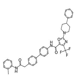 Cc1ccccc1NC(=O)Cc1ccc(-c2ccc(NC(=O)c3oc(N4CCC(c5ccccc5)CC4)nc3C(F)(F)F)cc2)cc1